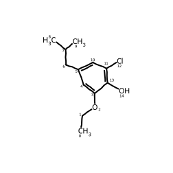 CCOc1cc(CC(C)C)cc(Cl)c1O